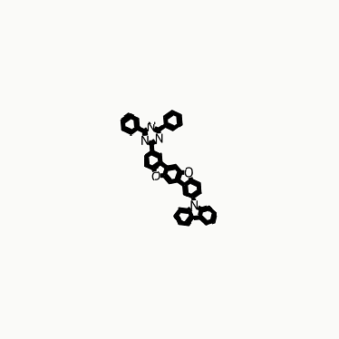 c1ccc(-c2nc(-c3ccccc3)nc(-c3ccc4oc5cc6c(cc5c4c3)oc3ccc(-n4c5ccccc5c5ccccc54)cc36)n2)cc1